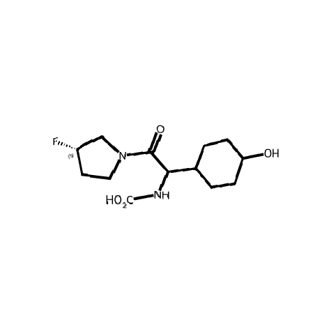 O=C(O)NC(C(=O)N1CC[C@H](F)C1)C1CCC(O)CC1